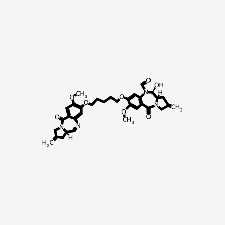 C=C1C[C@H]2C=Nc3cc(OCCCCCOc4cc5c(cc4OC)C(=O)N4CC(=C)C[C@H]4[C@H](O)N5C=O)c(OC)cc3C(=O)N2C1